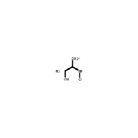 Cl.O=C(O)C(CO)NCl